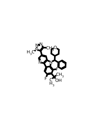 Cc1nnn(C)c1-c1cnc2c3cc(F)c(C(C)(C)O)c(F)c3n(C(c3ccccc3)C3CCOCC3)c2c1